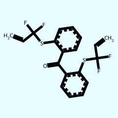 C=CC(F)(F)Sc1ccccc1C(=O)c1ccccc1SC(F)(F)C=C